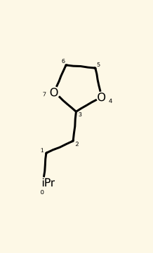 CC(C)CCC1OCCO1